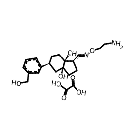 C[C@]12CC[C@H](c3cccc(CO)c3)C[C@@]1(O)CC[C@@H]2/C=N/OCCN.O=C(O)C(=O)O